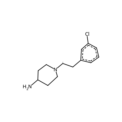 NC1CCN([CH]Cc2cccc(Cl)c2)CC1